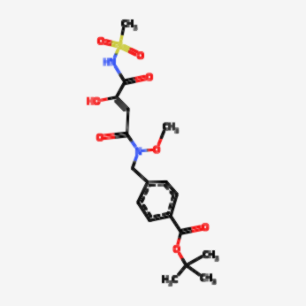 CON(Cc1ccc(C(=O)OC(C)(C)C)cc1)C(=O)/C=C(\O)C(=O)NS(C)(=O)=O